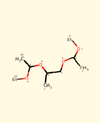 CCOC(C)OCC(C)OC(C)OCC